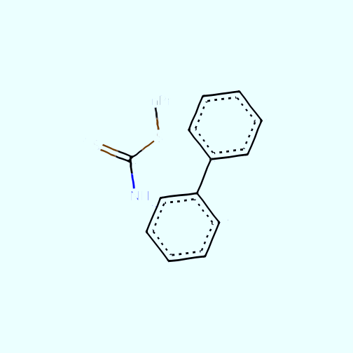 CCCSC(N)=S.c1ccc(-c2ccccc2)cc1